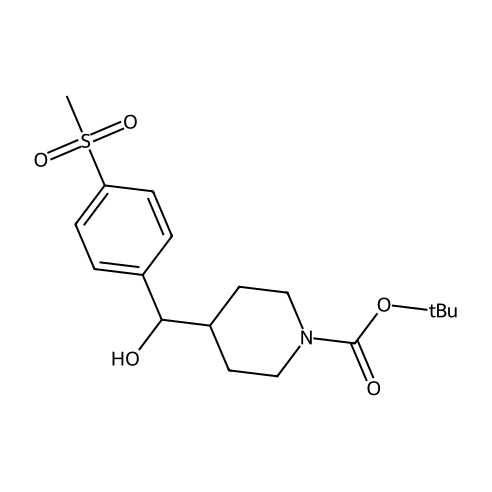 CC(C)(C)OC(=O)N1CCC(C(O)c2ccc(S(C)(=O)=O)cc2)CC1